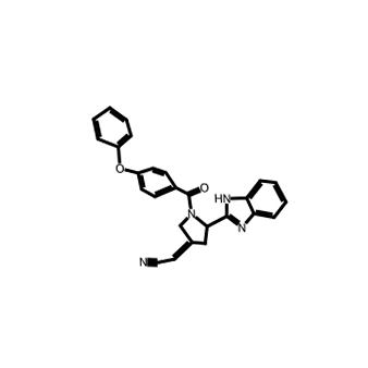 N#C/C=C1/CC(c2nc3ccccc3[nH]2)N(C(=O)c2ccc(Oc3ccccc3)cc2)C1